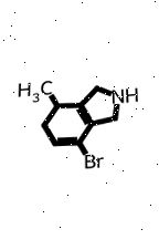 CC1CC=C(Br)C2=C1CNC2